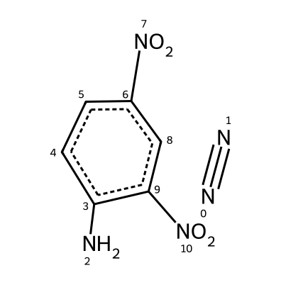 N#N.Nc1ccc([N+](=O)[O-])cc1[N+](=O)[O-]